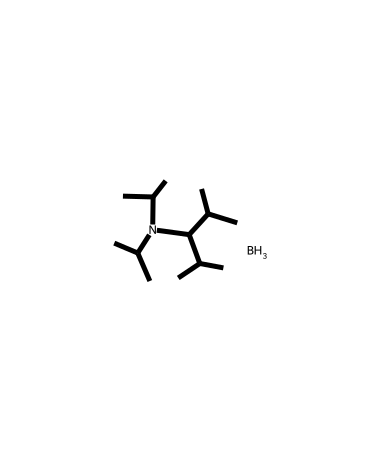 B.CC(C)C(C(C)C)N(C(C)C)C(C)C